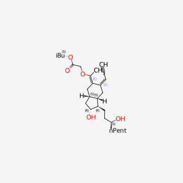 C#C/C=C1/C[C@H]2[C@@H](C/C1=C(/C)OCC(=O)O[C@@H](C)CC)C[C@@H](O)[C@@H]2CC[C@@H](O)CCCCC